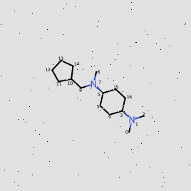 CN(C)[C@H]1CC[C@@H](N(C)CC2CCCC2)CC1